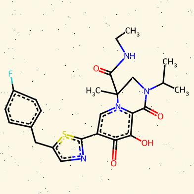 CCNC(=O)C1(C)CN(C(C)C)C(=O)c2c(O)c(=O)c(-c3ncc(Cc4ccc(F)cc4)s3)cn21